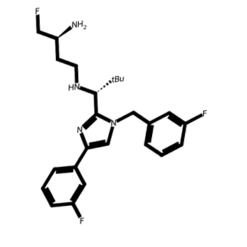 CC(C)(C)[C@@H](NCC[C@H](N)CF)c1nc(-c2cccc(F)c2)cn1Cc1cccc(F)c1